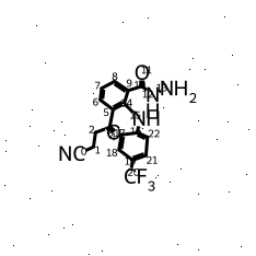 N#CCCC(=O)c1cccc(C(=O)NN)c1Nc1ccc(C(F)(F)F)cc1